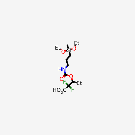 CCO[Si](C)(CCCNC(=O)OC(CC)C(F)(F)C(=O)O)OCC